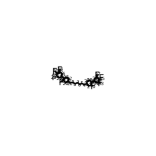 Fc1cc(CCCCCCCc2ccc(-c3cc(F)c(F)c(F)c3)c(F)c2)ccc1-c1cc(F)c(F)c(F)c1